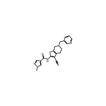 Cn1cc(C(=O)Nc2sc3c(c2C#N)CCN(Cc2cncnc2)C3)cn1